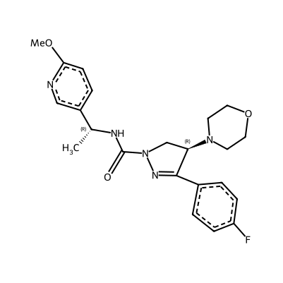 COc1ccc([C@@H](C)NC(=O)N2C[C@@H](N3CCOCC3)C(c3ccc(F)cc3)=N2)cn1